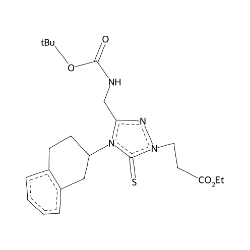 CCOC(=O)CCn1nc(CNC(=O)OC(C)(C)C)n(C2CCc3ccccc3C2)c1=S